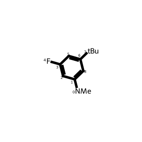 CNc1cc(F)cc(C(C)(C)C)c1